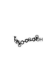 O=C(O)N1CCC(COc2ccc(C3=CCC(C(=O)N4CCN(CC5CC5)CC4)CC3)cc2)CC1